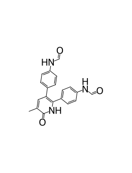 Cc1cc(-c2ccc(NC=O)cc2)c(-c2ccc(NC=O)cc2)[nH]c1=O